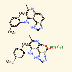 COc1ccc(OC)c(Nc2cc(C)nc3ccc4nc[nH]c4c23)c1.COc1ccc(OC)c(Nc2cc(C)nc3ccc4nc[nH]c4c23)c1.Cl.Cl.O